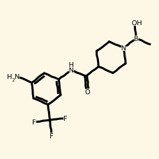 CB(O)N1CCC(C(=O)Nc2cc(N)cc(C(F)(F)F)c2)CC1